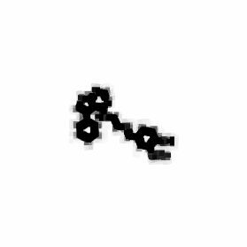 COc1cc(/C=N/CCNc2ncnc3scc(-c4ccccc4)c23)ccc1O